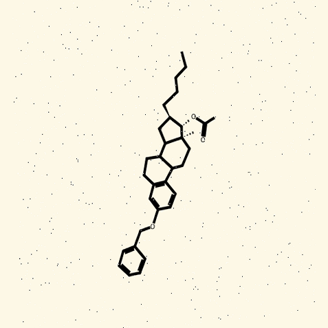 CCCCC[C@@H]1CC2C3CCc4cc(OCc5ccccc5)ccc4C3CC[C@]2(C)[C@H]1OC(C)=O